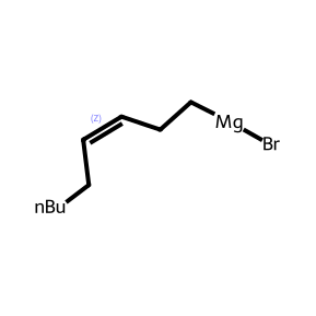 CCCCC/C=C\C[CH2][Mg][Br]